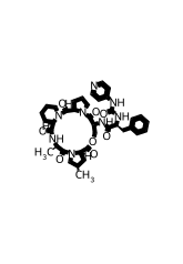 C[C@@H]1C[C@H]2C(=O)OCC(NC(=O)[C@H](Cc3ccccc3)NC(=O)Nc3ccncc3)C(=O)N3CCC[C@H]3C(=O)N3CCCC[C@H]3C(=O)N[C@@H](C)C(=O)N2C1